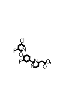 COC(=O)Cc1ccnc(-c2ccc(Oc3ncc(Cl)cc3F)c(F)c2)n1